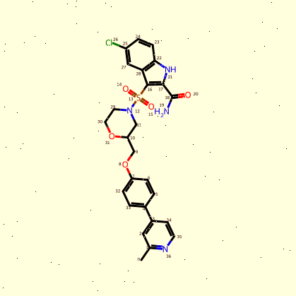 Cc1cc(-c2ccc(OCC3CN(S(=O)(=O)c4c(C(N)=O)[nH]c5ccc(Cl)cc45)CCO3)cc2)ccn1